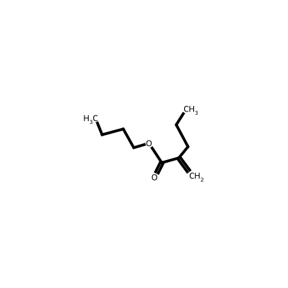 C=C(CCC)C(=O)OCCCC